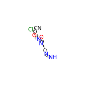 CC1(C)[C@H](Oc2ccc(C#N)c(Cl)c2)C(C)(C)[C@H]1N1Cc2nc(C#CC3CCC(N4CCC5(CCNC5)C4)CC3)ccc2C1=O